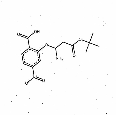 CC(C)(C)OC(=O)CC(N)Oc1cc([N+](=O)[O-])ccc1C(=O)O